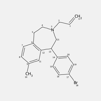 C=CCN1CCc2ccc(C)cc2C(c2ccc(Br)cc2)C1